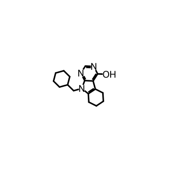 Oc1ncnc2c1c1c(n2CC2CCCCC2)CCCC1